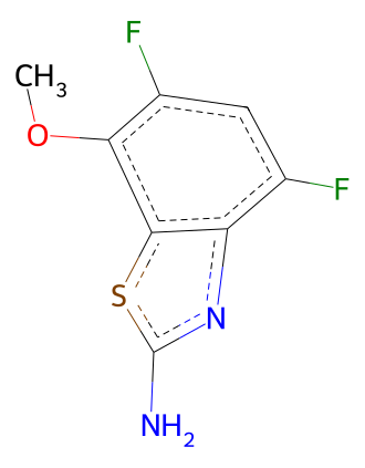 COc1c(F)cc(F)c2nc(N)sc12